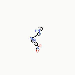 Cc1ccccc1Nc1cc(C#Cc2cnc3ccc(-c4ccc(C(=O)N5CCOCC5)cc4)nn23)ccn1